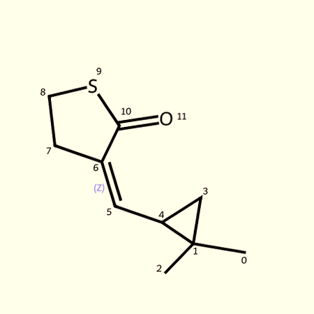 CC1(C)CC1/C=C1/CCSC1=O